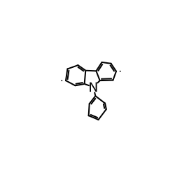 [c]1ccc2c3cc[c]cc3n(-c3ccccc3)c2c1